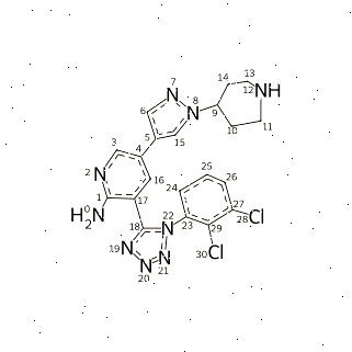 Nc1ncc(-c2cnn(C3CCNCC3)c2)cc1-c1nnnn1-c1cccc(Cl)c1Cl